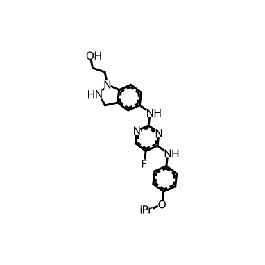 CC(C)Oc1ccc(Nc2nc(Nc3ccc4c(c3)CNN4CCO)ncc2F)cc1